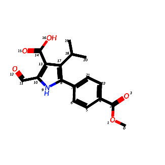 COC(=O)c1ccc(-c2[nH]c(C=O)c(C(=O)O)c2C(C)C)cc1